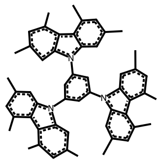 Cc1cc(C)c2c3c(C)cc(C)cc3n(-c3cc(-n4c5cc(C)cc(C)c5c5c(C)cc(C)cc54)cc(-n4c5cc(C)cc(C)c5c5c(C)cc(C)cc54)c3)c2c1